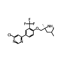 CC(C)C[C@](C)(N)COc1ccc(-c2cc(Cl)ncn2)cc1C(F)(F)F